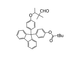 CC(Oc1ccc(C2(c3ccc(OC(=O)C(C)(C)C)cc3)c3ccccc3-c3ccccc32)cc1)C(C)(C)C=O